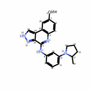 COc1ccc2nc(Nc3cccc(N4CCCC4C)c3)c3n[nH]cc3c2c1